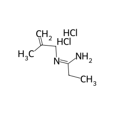 C=C(C)CN=C(N)CC.Cl.Cl